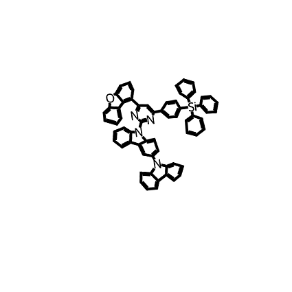 c1ccc([Si](c2ccccc2)(c2ccccc2)c2ccc(-c3cc(-c4cccc5oc6ccccc6c45)nc(-n4c5ccccc5c5cc(-n6c7ccccc7c7ccccc76)ccc54)n3)cc2)cc1